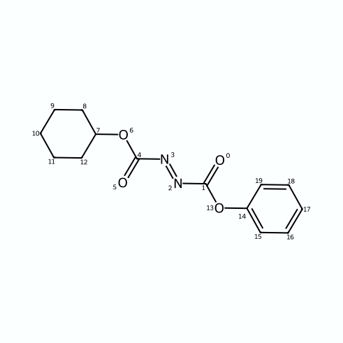 O=C(N=NC(=O)OC1CCCCC1)Oc1ccccc1